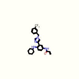 C=CC(=O)Nc1ccc(NC2CCCCC2)c(-c2cn(Cc3cccc(C(F)(F)F)c3)cn2)c1